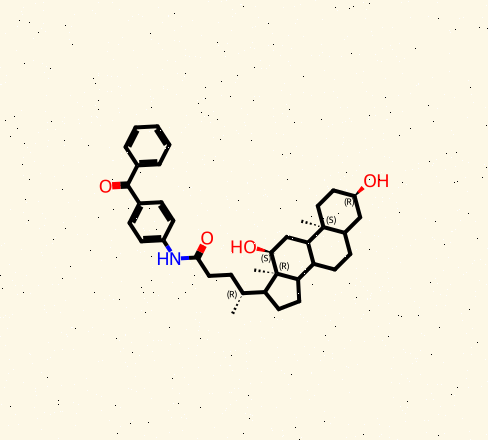 C[C@H](CCC(=O)Nc1ccc(C(=O)c2ccccc2)cc1)C1CCC2C3CCC4C[C@H](O)CC[C@]4(C)C3C[C@H](O)[C@@]21C